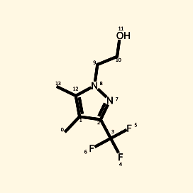 Cc1c(C(F)(F)F)nn(CCO)c1C